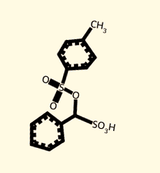 Cc1ccc(S(=O)(=O)OC(c2ccccc2)S(=O)(=O)O)cc1